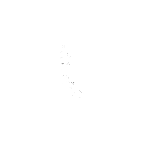 Cc1cccc(-c2csc(N3CCC(S(=O)(=O)c4ccc(Br)cc4)CC3)n2)c1C